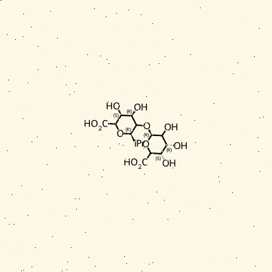 CC(C)[C@H]1OC(C(=O)O)[C@@H](O)[C@@H](O)C1O[C@@H]1OC(C(=O)O)[C@@H](O)[C@@H](O)C1O